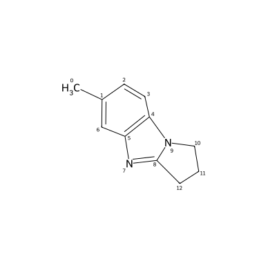 Cc1ccc2c(c1)nc1n2CCC1